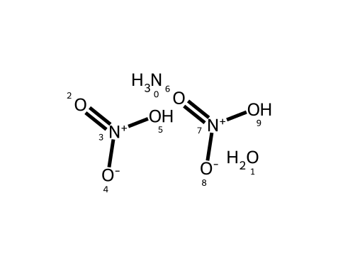 N.O.O=[N+]([O-])O.O=[N+]([O-])O